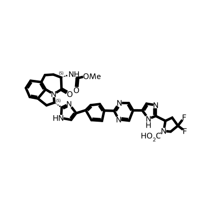 COC(=O)N[C@H]1CCc2cccc3c2N(C1=O)[C@H](c1nc(-c2ccc(-c4ncc(-c5cnc(C6CC(F)(F)CN6C(=O)O)[nH]5)cn4)cc2)c[nH]1)C3